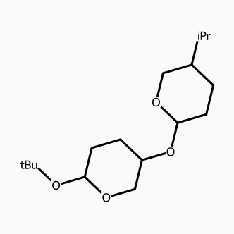 CC(C)C1CCC(OC2CCC(OC(C)(C)C)OC2)OC1